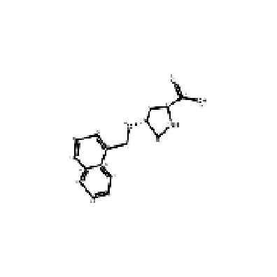 O=C(O)[C@@H]1C[C@@H](OCc2cccc3ccccc23)CN1